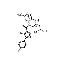 CC(C)C[C@H]1CN(C(=O)c2noc(-c3ccc(F)cc3)c2F)[C@@H](CC(C)C)C(=O)N1